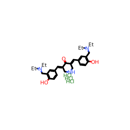 CCN(CC)Cc1cc(C=C2CNCC(=Cc3ccc(O)c(CN(CC)CC)c3)C2=O)ccc1O.Cl.Cl.Cl